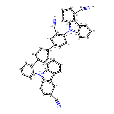 N#Cc1ccc2c(c1)c1ccccc1n2-c1ccccc1-c1ccc(-c2ccc(-n3c4ccccc4c4c(C#N)cccc43)c(C#N)c2)cc1